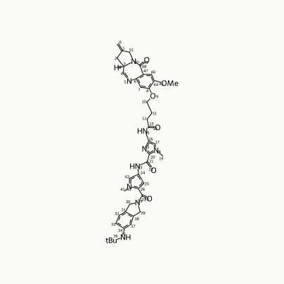 C=C1C[C@H]2C=Nc3cc(OCCCC(=O)Nc4cn(C)c(C(=O)Nc5cc(C(=O)N6Cc7ccc(NC(C)(C)C)cc7C6)n(C)c5)n4)c(OC)cc3C(=O)N2C1